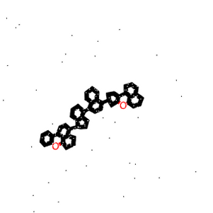 c1ccc2c(c1)Oc1cccc3c(-c4cccc5c(-c6ccc(-c7ccc8c(c7)Oc7cccc9cccc-8c79)c7ccccc67)cccc45)ccc-2c13